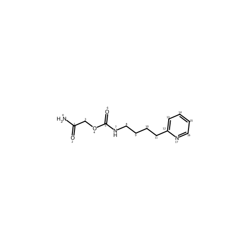 NC(=O)COC(=O)NCCCCc1ccccn1